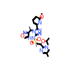 COc1cccc(-c2nnc(NS(=O)(=O)[C@@H](C)[C@@H](OC(C)C)c3ncc(C)cn3)n2[C@H](C)c2ccon2)n1